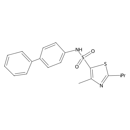 Cc1nc(C(C)C)sc1S(=O)(=O)Nc1ccc(-c2ccccc2)cc1